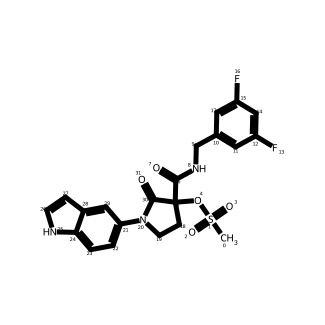 CS(=O)(=O)OC1(C(=O)NCc2cc(F)cc(F)c2)CCN(c2ccc3[nH]ccc3c2)C1=O